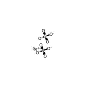 O=S(=O)([O-])[O-].O=S(=O)([O-])[O-].[Re+4]